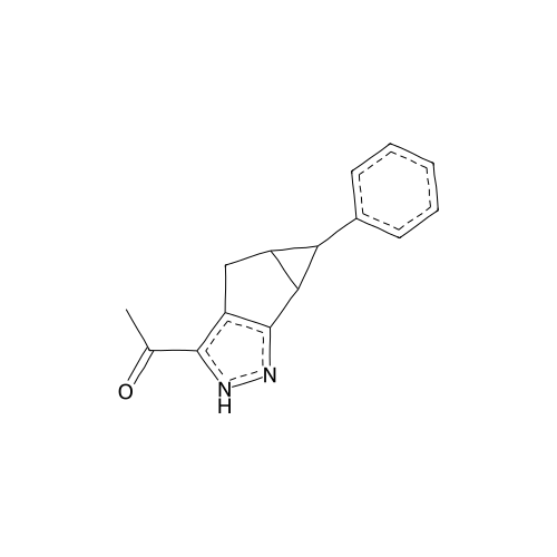 CC(=O)c1[nH]nc2c1CC1C(c3ccccc3)C21